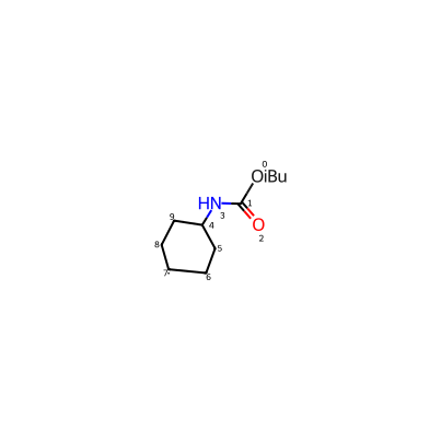 CC(C)COC(=O)NC1CC[CH]CC1